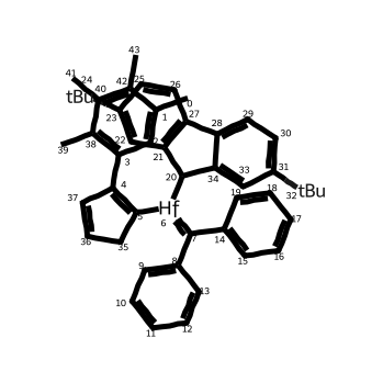 Cc1cc(C2=[C]([Hf](=[C](c3ccccc3)c3ccccc3)[CH]3c4cc(C(C)(C)C)ccc4-c4ccc(C(C)(C)C)cc43)CC=C2)c(C)c(C)c1C